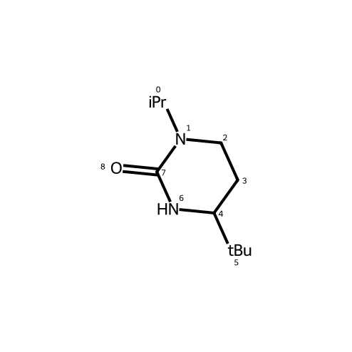 CC(C)N1CCC(C(C)(C)C)NC1=O